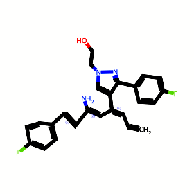 C=C\C=C(/C=C(N)/C=C/c1ccc(F)cc1)c1cn(CCO)nc1-c1ccc(F)cc1